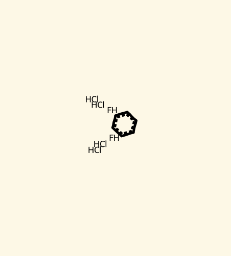 Cl.Cl.Cl.Cl.F.F.c1ccccc1